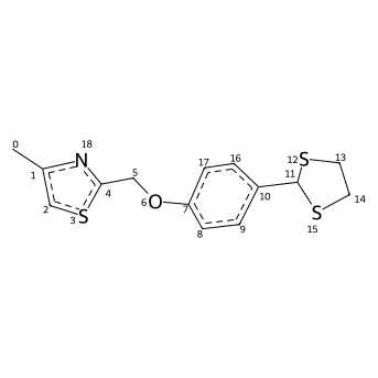 Cc1csc(COc2ccc(C3SCCS3)cc2)n1